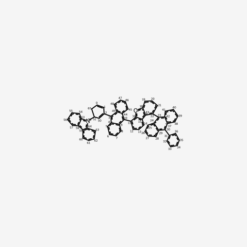 C1=CC(c2c3ccccc3c(-c3cccc4c3oc3cccc(-c5c6ccccc6c(-c6ccccc6)c6ccccc56)c34)c3ccccc23)=CC(n2c3ccccc3c3ccccc32)C1